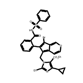 CCOC(=O)c1c(C2CC2)nc(CC)n1Cc1c2ccocc-2c(Br)c1-c1ccccc1C(=O)NS(=O)(=O)c1ccccc1